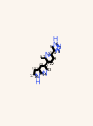 Cc1nc(-c2c[nH]nn2)ccc1-c1cnc2[nH]ccc2c1